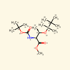 COC(=O)[C@@H](NC(=O)OC(C)(C)C)[C@@H](C)O[Si](C)(C)C(C)(C)C